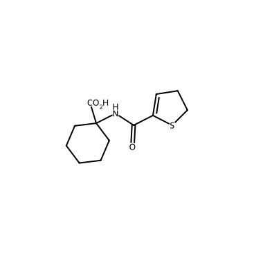 O=C(NC1(C(=O)O)CCCCC1)C1=CCCS1